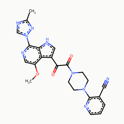 COc1cnc(-n2cnc(C)n2)c2[nH]cc(C(=O)C(=O)N3CCN(c4ncccc4C#N)CC3)c12